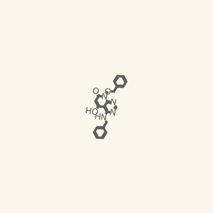 O=c1cc(O)c2c(NCc3ccccc3)ncnc2n1OCc1ccccc1